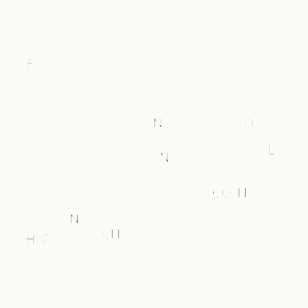 CCOc1cn(-c2ccc(F)cc2CCN(C)C)nc1C(=O)O